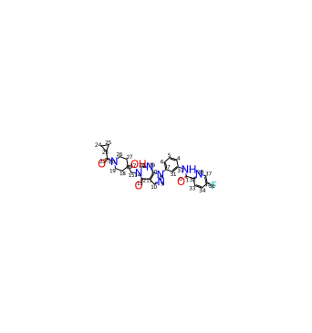 O=C(Nc1cccc(-n2ncc3c(=O)n(CC4(O)CCN(C(=O)C5CC5)CC4)cnc32)c1)c1ccc(F)cn1